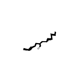 CCCCCCCC(C[O])CCCCC